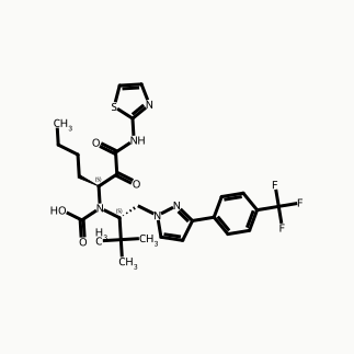 CCCC[C@@H](C(=O)C(=O)Nc1nccs1)N(C(=O)O)[C@H](Cn1ccc(-c2ccc(C(F)(F)F)cc2)n1)C(C)(C)C